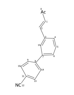 CC(=O)C=Cc1cccc(-c2ccc(C#N)cc2)c1